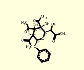 CC(=O)C(O)[C@H]1O[C@@H](Oc2ccccc2)[C@@](O)(C(C)=O)[C@](O)(C(C)=O)[C@]1(O)C(C)=O